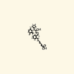 Cc1ccc(C[C@@H]2CCCN2C[C@@H](O)CO[C@H](C)c2ccccc2CCCCCCC(=O)O)cc1F